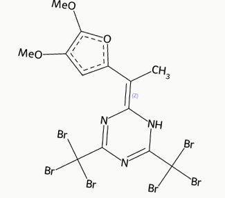 COc1cc(/C(C)=C2\N=C(C(Br)(Br)Br)N=C(C(Br)(Br)Br)N2)oc1OC